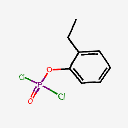 CCc1ccccc1OP(=O)(Cl)Cl